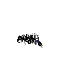 CC(C)C[C@H](NC(=O)CP(=O)(O)C(Cc1ccccc1)NC(=O)c1cccc(C(F)(F)F)c1)C(=O)N[C@@H](C/C=C/c1ccccc1)C(N)=O